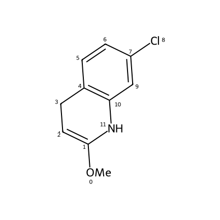 COC1=[C]Cc2ccc(Cl)cc2N1